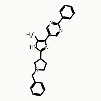 Cc1[nH]c(C2CCN(Cc3ccccc3)C2)nc1-c1cnc(-c2ccccc2)nc1